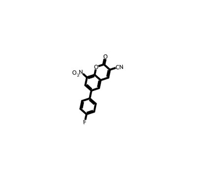 N#Cc1cc2cc(-c3ccc(F)cc3)cc([N+](=O)[O-])c2oc1=O